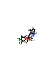 CC(C)(Oc1ccc(Cl)c(Cl)c1)C(=O)N[C@H]1C[C@H]2CC[C@@H](C1)N2c1ccc(S(C)(=O)=O)cn1